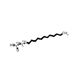 CCCCCCCCCCCC[13CH2][13CH2][13CH2][13C](=O)O